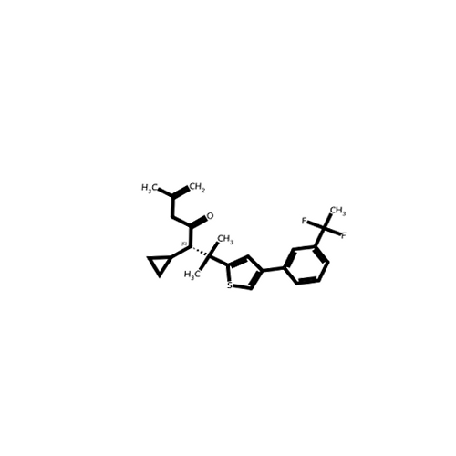 C=C(C)CC(=O)[C@@H](C1CC1)C(C)(C)c1cc(-c2cccc(C(C)(F)F)c2)cs1